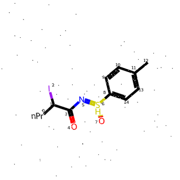 CCCC(I)C(=O)/N=[SH](=O)/c1ccc(C)cc1